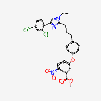 CCn1cc(-c2ccc(Cl)cc2Cl)nc1CCCc1ccc(Oc2ccc([N+](=O)[O-])c(C(=O)OC)c2)cc1